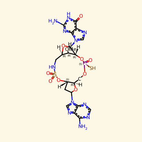 CO[C@H]1[C@H]2O[P@@](=O)(S)OC[C@H]3OC(n4cnc5c(N)ncnc54)C[C@@H]3OS(=O)(=O)NC[C@H]1O[C@H]2n1cnc2c(=O)[nH]c(N)nc21